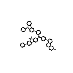 CC1C=Cc2ccc3c(-c4ccc(N(c5cccc(-c6ccc7c(c6)c6ccccc6n7-c6ccccc6)c5)c5ccc6c(c5)C(C)(C)c5cc(-c7ccccc7)ccc5-6)cc4)cccc3c2C1